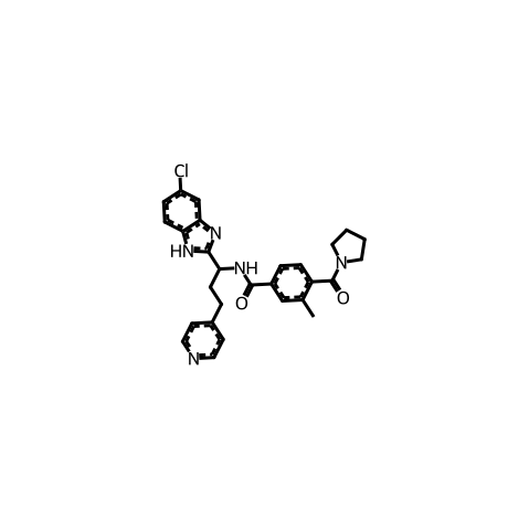 Cc1cc(C(=O)NC(CCc2ccncc2)c2nc3cc(Cl)ccc3[nH]2)ccc1C(=O)N1CCCC1